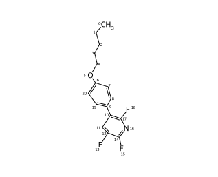 CCCCCOc1ccc(-c2cc(F)c(F)nc2F)cc1